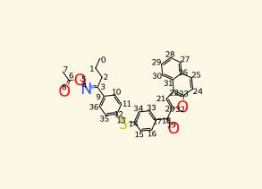 CCC/C(=N\OC(C)=O)c1ccc(Sc2ccc(C(=O)c3cc4c(ccc5ccccc54)o3)cc2)cc1